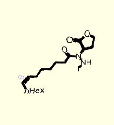 CCCCCC/C=C\CCCCCC(=O)N(NI)C1CCOC1=O